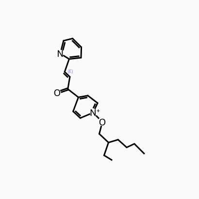 CCCCC(CC)CO[n+]1ccc(C(=O)/C=C/c2ccccn2)cc1